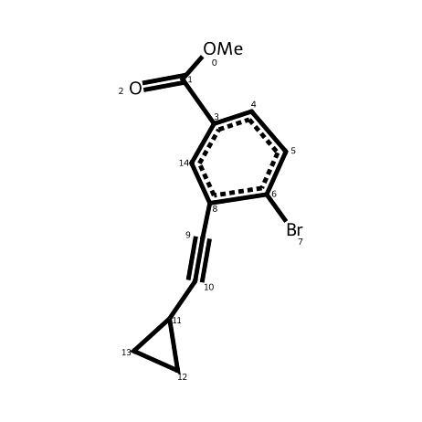 COC(=O)c1ccc(Br)c(C#CC2CC2)c1